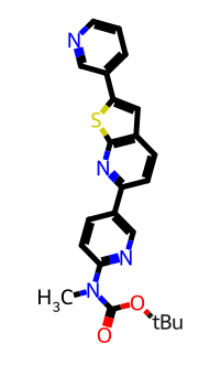 CN(C(=O)OC(C)(C)C)c1ccc(-c2ccc3cc(-c4cccnc4)sc3n2)cn1